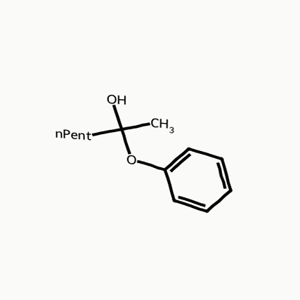 CCCCCC(C)(O)Oc1ccccc1